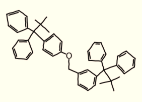 CC(C)(C)C(c1ccccc1)(c1ccccc1)c1ccc(OCc2cccc(C(c3ccccc3)(c3ccccc3)C(C)(C)C)c2)cc1